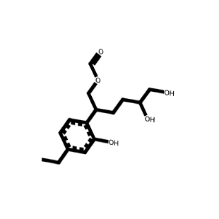 CCc1ccc(C(CCC(O)CO)COC=O)c(O)c1